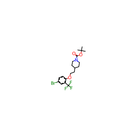 CC(C)(C)OC(=O)N1CCC(CCOc2ccc(Br)cc2C(F)(F)F)CC1